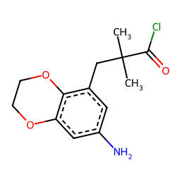 CC(C)(Cc1cc(N)cc2c1OCCO2)C(=O)Cl